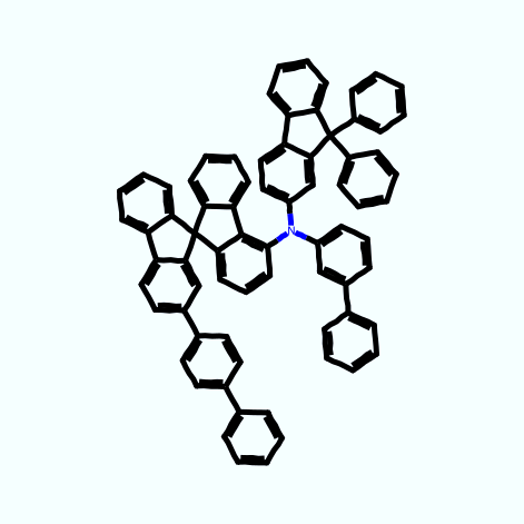 c1ccc(-c2ccc(-c3ccc4c(c3)C3(c5ccccc5-4)c4ccccc4-c4c(N(c5cccc(-c6ccccc6)c5)c5ccc6c(c5)C(c5ccccc5)(c5ccccc5)c5ccccc5-6)cccc43)cc2)cc1